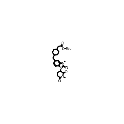 CN1C(=O)CCC(n2c(=O)n(C)c3cc(CC4CCC(CC(=O)OC(C)(C)C)CC4)ccc32)C1=O